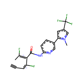 C#C/C=C(F)\C(C(=O)Nc1ccc(-c2cc(C(F)(F)F)cn2C)cn1)=C(/C)F